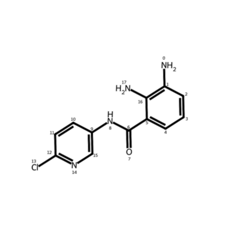 Nc1cccc(C(=O)Nc2ccc(Cl)nc2)c1N